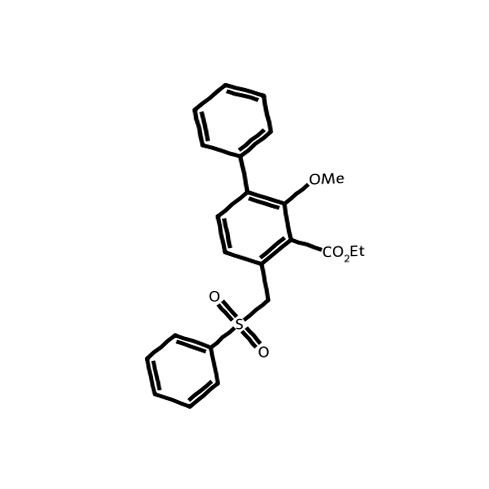 CCOC(=O)c1c(CS(=O)(=O)c2ccccc2)ccc(-c2ccccc2)c1OC